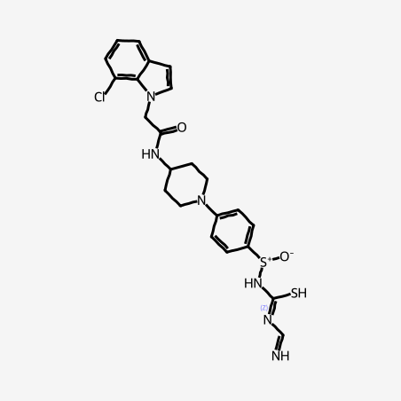 N=C/N=C(\S)N[S+]([O-])c1ccc(N2CCC(NC(=O)Cn3ccc4cccc(Cl)c43)CC2)cc1